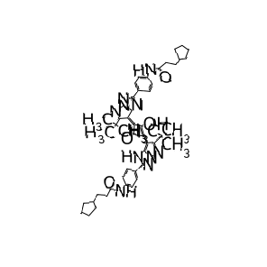 CC(C)(C)c1nn2nc(-c3ccc(NC(=O)CCC4CCCC4)cc3)[nH]c2c1C1=C(O)/C(=c2/c(C(C)(C)C)nn3nc(-c4ccc(NC(=O)CCC5CCCC5)cc4)nc23)C1=O